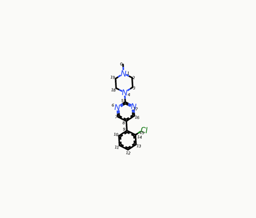 CN1CCN(c2ncc(-c3ccccc3Cl)cn2)CC1